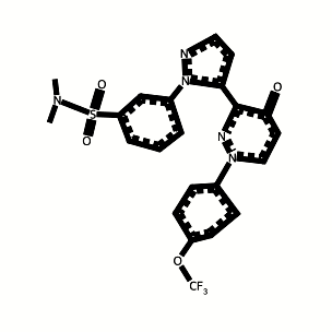 CN(C)S(=O)(=O)c1cccc(-n2nccc2-c2nn(-c3ccc(OC(F)(F)F)cc3)ccc2=O)c1